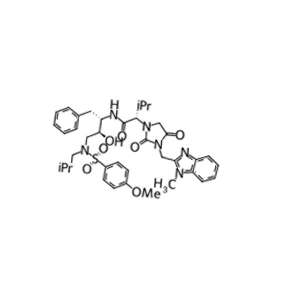 COc1ccc(S(=O)(=O)N(CC(C)C)C[C@H](O)[C@H](Cc2ccccc2)NC(=O)[C@H](C(C)C)N2CC(=O)N(Cc3nc4ccccc4n3C)C2=O)cc1